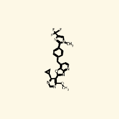 COc1ncnc(C2CC2)c1-c1nc2nccc(Cc3ccc(-c4nc(C(F)(F)F)cn4C)cc3)c2o1